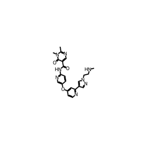 CNCCn1cc(-c2cc(Oc3ccc(NC(=O)c4cnc(C)n(C)c4=O)nc3)ccn2)cn1